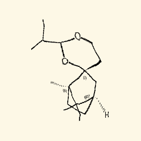 CC(C)C1OCC[C@]2(C[C@H]3CC[C@]2(C)C3(C)C)O1